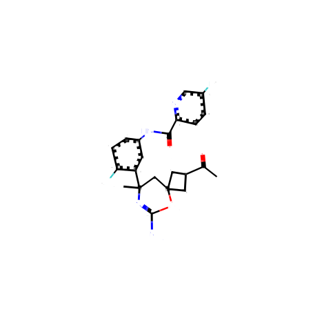 CC(=O)C1CC2(C1)CC(C)(c1cc(NC(=O)c3ccc(F)cn3)ccc1F)N=C(N)O2